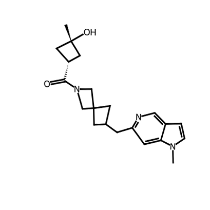 Cn1ccc2cnc(CC3CC4(C3)CN(C(=O)[C@H]3C[C@@](C)(O)C3)C4)cc21